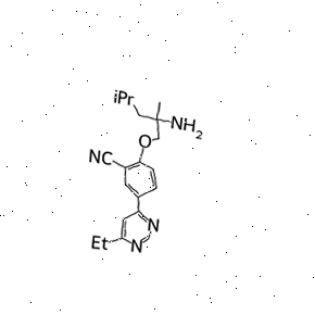 CCc1cc(-c2ccc(OCC(C)(N)CC(C)C)c(C#N)c2)ncn1